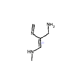 C=N/C(=C\NC)CN